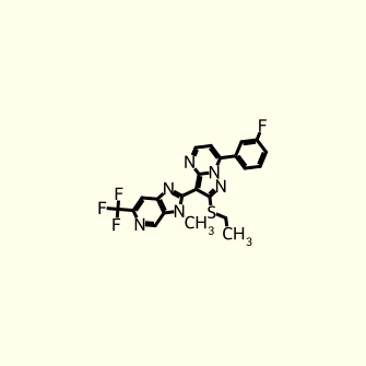 CCSc1nn2c(-c3cccc(F)c3)ccnc2c1-c1nc2cc(C(F)(F)F)ncc2n1C